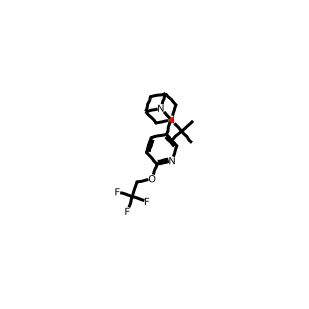 CC(C)(C)N1CC2CC(C1)N2Cc1ccc(OCC(F)(F)F)nc1